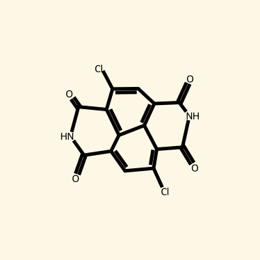 O=C1NC(=O)c2c(Cl)cc3c4c(c(Cl)cc1c24)C(=O)NC3=O